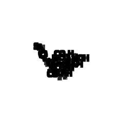 O=C(O)CN(CCN(Cc1ccc(N=C=S)cc1)CC(N[C@@H](Cc1cc(I)c(Oc2cc(I)c(O)c(I)c2)c(I)c1)C(=O)O)N(CC(=O)O)CC(=O)O)CC(=O)O